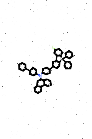 Fc1ccc2c(c1)-c1cc(-c3ccc(N(c4ccc(-c5ccccc5)cc4)c4cc5ccccc5c5ccccc45)cc3)ccc1[Si]2(c1ccccc1)c1ccccc1